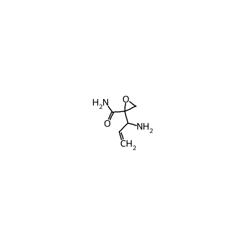 C=CC(N)C1(C(N)=O)CO1